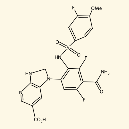 COc1ccc(S(=O)(=O)Nc2c(N3CNc4ncc(C(=O)O)cc43)cc(F)c(C(N)=O)c2F)cc1F